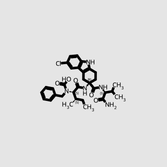 CC[C@H](C)[C@@H](C(=O)N[C@]1(C(=O)N[C@H](C(N)=O)C(C)C)CCc2[nH]c3ccc(Cl)cc3c2C1)N(Cc1ccccc1)C(=O)O